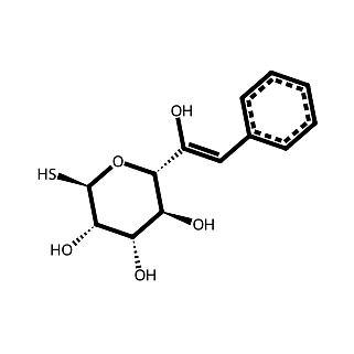 OC(=Cc1ccccc1)[C@H]1O[C@H](S)[C@@H](O)[C@@H](O)[C@@H]1O